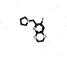 Fc1cc2c(nc1CN1CCCC1)OCCO2